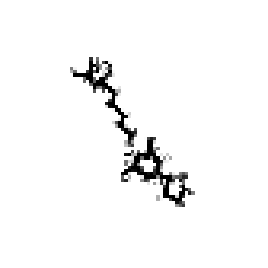 Cc1cc(CCCCCOc2c(C)cc(C3=NCCC3)cc2C)on1